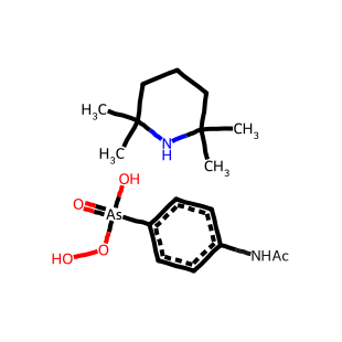 CC(=O)Nc1ccc([As](=O)(O)OO)cc1.CC1(C)CCCC(C)(C)N1